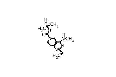 C=Cc1nc2c(c(NC)n1)CN(C(=O)OC(C)(C)C)CC2